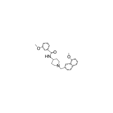 COc1cccc(C(=O)NC2CCN(Cc3ccc4cccc(OC)c4c3)CC2)c1